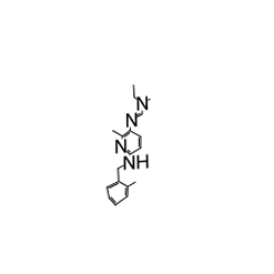 CCN(C)/C=N/c1ccc(NCc2ccccc2C)nc1C